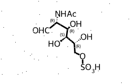 CC(=O)N[C@@H](C=O)[C@@H](O)[C@H](O)[C@H](O)COS(=O)(=O)O